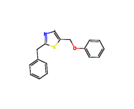 [c]1nc(Cc2ccccc2)sc1COc1ccccc1